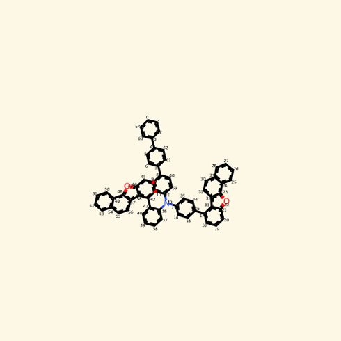 c1ccc(-c2ccc(-c3ccc(N(c4ccc(-c5cccc6oc7c8ccccc8ccc7c56)cc4)c4ccccc4-c4cccc5oc6c7ccccc7ccc6c45)cc3)cc2)cc1